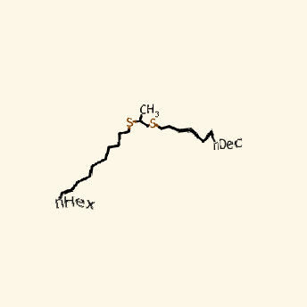 CCCCCCC=CCCCCCCCCSC(C)CSCCCCCCCCCCCCCCCC